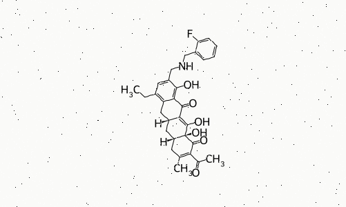 CCc1cc(CNCc2ccccc2F)c(O)c2c1C[C@H]1C[C@H]3CC(C)=C(C(C)=O)C(=O)[C@@]3(O)C(O)=C1C2=O